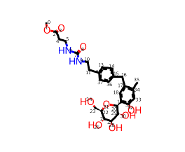 COC(=O)CCNC(=O)NCCc1ccc(Cc2cc([C@@H]3O[C@H](CO)[C@@H](O)[C@H](O)[C@H]3O)c(O)cc2C)cc1